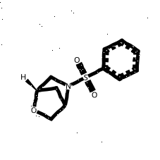 O=S(=O)(c1ccccc1)N1C[C@@H]2CC1CO2